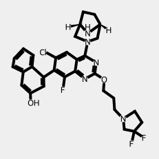 Oc1cc(-c2c(Cl)cc3c(N4C[C@H]5CC[C@@H](C4)N5)nc(OCCCN4CCC(F)(F)C4)nc3c2F)c2ccccc2c1